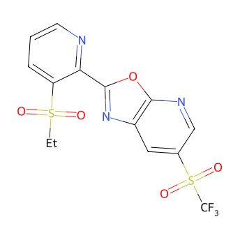 CCS(=O)(=O)c1cccnc1-c1nc2cc(S(=O)(=O)C(F)(F)F)cnc2o1